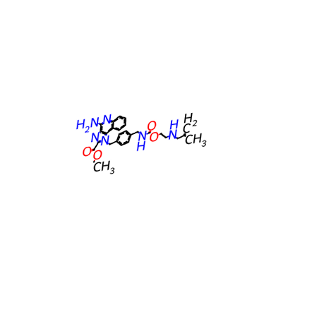 C=C(C)CNCCOC(=O)NCc1ccc(Cn2c(C(=O)OCC)nc3c(N)nc4ccccc4c32)cc1